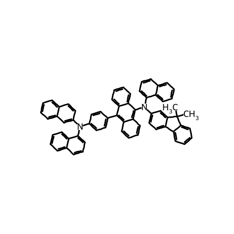 CC1(C)c2ccccc2-c2ccc(N(c3cccc4ccccc34)c3c4ccccc4c(-c4ccc(N(c5ccc6ccccc6c5)c5cccc6ccccc56)cc4)c4ccccc34)cc21